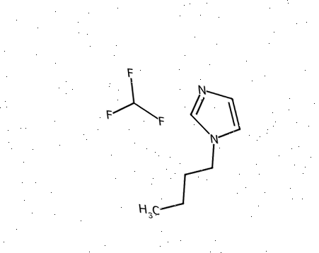 CCCCn1ccnc1.FC(F)F